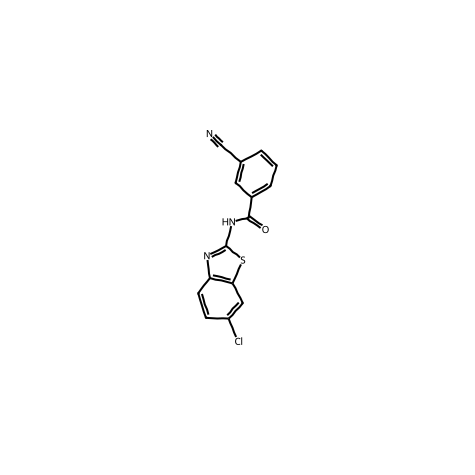 N#Cc1cccc(C(=O)Nc2nc3ccc(Cl)cc3s2)c1